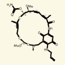 C=CCNC1=C2C[C@@H](C)C[C@H](OC)CC/C=C(\C)C[C@H](OC(N)=O)[C@@H](OC)/C=C\C=C(/C)C(=O)NC(=CC1=O)C2=O